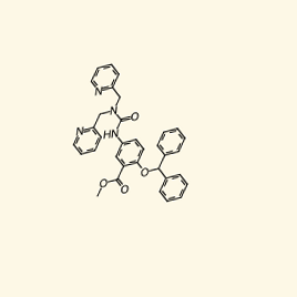 COC(=O)c1cc(NC(=O)N(Cc2ccccn2)Cc2ccccn2)ccc1OC(c1ccccc1)c1ccccc1